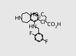 Fc1ccc(F)c(CNc2c(Cl)ccc3c2CCNCC3)c1.O=C(O)CCC(=O)O